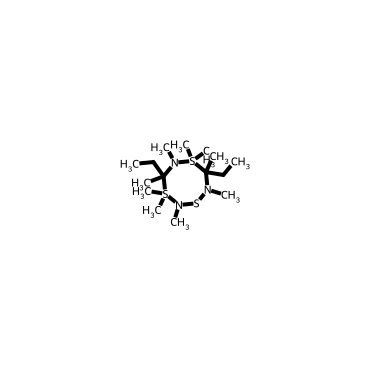 CCC1(C)N(C)S(C)(C)C(C)(CC)N(C)SN(C)S1(C)C